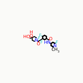 Cc1cc(NC(=O)c2ccc(F)c(C(F)(F)C(=O)N3CCC(O)(CO)CC3)c2)cc(F)n1